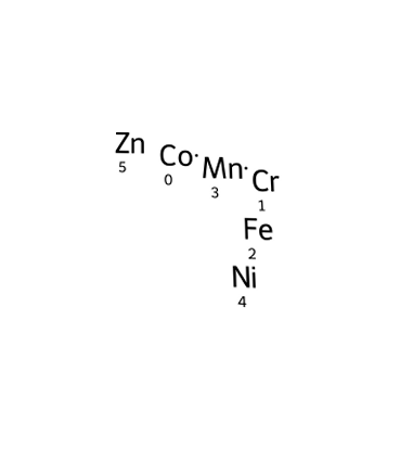 [Co].[Cr].[Fe].[Mn].[Ni].[Zn]